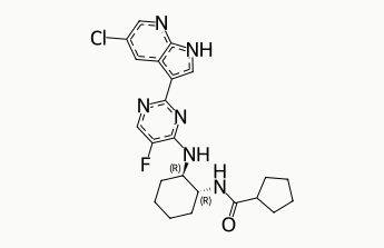 O=C(N[C@@H]1CCCC[C@H]1Nc1nc(-c2c[nH]c3ncc(Cl)cc23)ncc1F)C1CCCC1